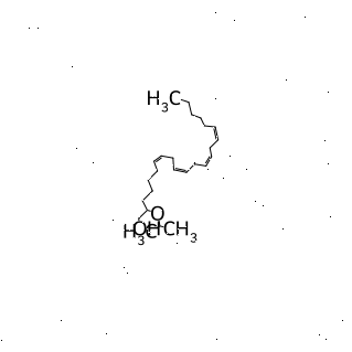 CCCCC/C=C\C/C=C\C/C=C\C/C=C\CCCCC(CO)OC(C)C